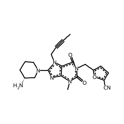 CC#CCn1c(N2CCC[C@@H](N)C2)nc2c1c(=O)n(Cc1ccc(C#N)o1)c(=O)n2C